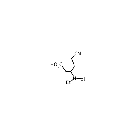 CCN(CC)C(CCC#N)CC(=O)O